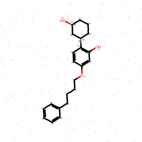 Oc1cc(OCCCCc2ccccc2)ccc1[C@@H]1CCC[C@H](O)C1